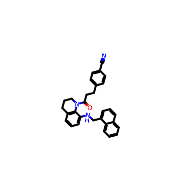 N#Cc1ccc(CCC(=O)N2CCCc3cccc(NCc4cccc5ccccc45)c32)cc1